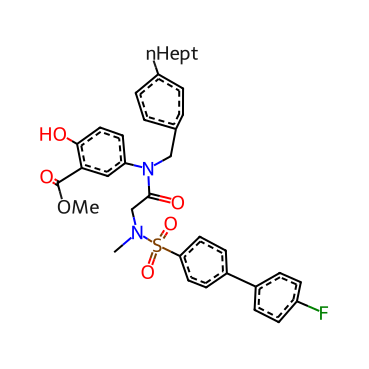 CCCCCCCc1ccc(CN(C(=O)CN(C)S(=O)(=O)c2ccc(-c3ccc(F)cc3)cc2)c2ccc(O)c(C(=O)OC)c2)cc1